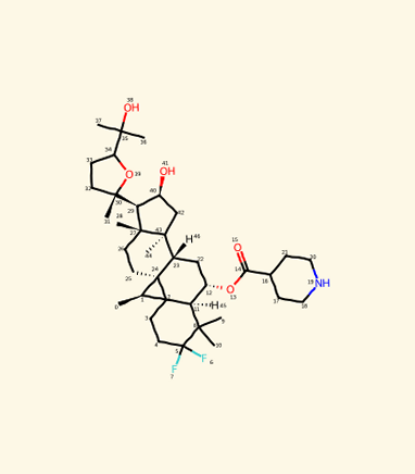 C[C@@H]1C23CCC(F)(F)C(C)(C)[C@@H]2[C@@H](OC(=O)C2CCNCC2)C[C@@H]2[C@]13CC[C@]1(C)[C@@H]([C@]3(C)CCC(C(C)(C)O)O3)[C@@H](O)C[C@@]21C